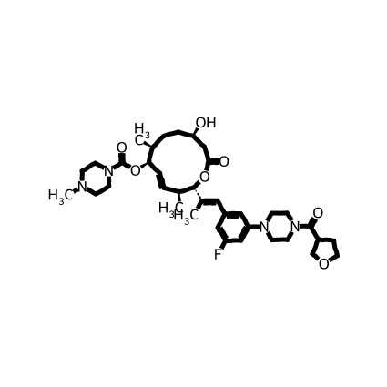 C/C(=C\c1cc(F)cc(N2CCN(C(=O)C3CCOC3)CC2)c1)[C@H]1OC(=O)C[C@H](O)CC[C@H](C)[C@H](OC(=O)N2CCN(C)CC2)/C=C/[C@@H]1C